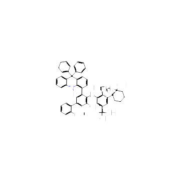 Cc1ccccc1-c1cc(C)c(Bc2cc(C(C)(C)C)cc(C3(C)CCCCC3(C)C)c2C)c(-c2cccc3c2Nc2ccccc2C3(C2=CCCC=C2)c2ccccc2)c1